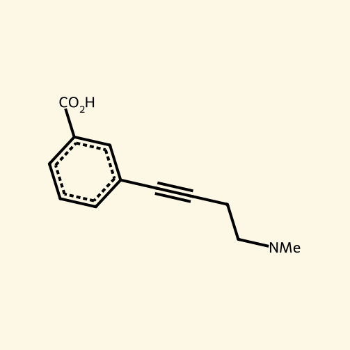 CNCCC#Cc1cccc(C(=O)O)c1